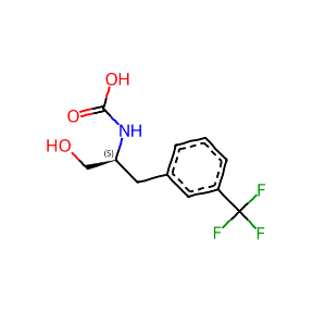 O=C(O)N[C@H](CO)Cc1cccc(C(F)(F)F)c1